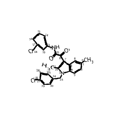 Cc1ccc2c(c1)c(C(=O)C(=O)Nc1cccc(Cl)c1)c(C)n2Cc1ccc(Cl)cc1